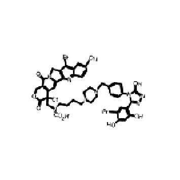 CCc1c2c(nc3ccc(O)cc13)-c1cc3c(c(=O)n1C2)COC(=O)C3(CC)CN(CCCCN1CCN(Cc2ccc(-n3c(O)nnc3-c3cc(C(C)C)c(O)cc3O)cc2)CC1)C(=O)O